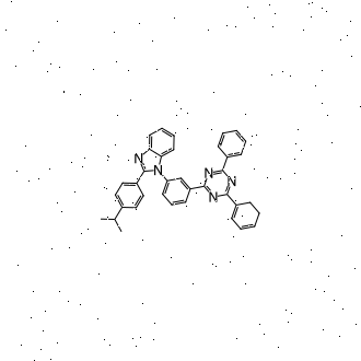 CC(C)c1ccc(-c2nc3ccccc3n2-c2cccc(-c3nc(C4=CC=CCC4)nc(-c4ccccc4)n3)c2)cc1